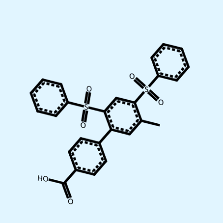 Cc1cc(-c2ccc(C(=O)O)cc2)c(S(=O)(=O)c2ccccc2)cc1S(=O)(=O)c1ccccc1